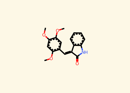 COc1cc(OC)c(OC)cc1C=C1C(=O)Nc2ccccc21